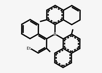 CC/C=C(C)\C(B(c1c(C)ccc2c1CCC=C2)c1c(C)ccc2ccccc12)=C1\C=CC=CC1